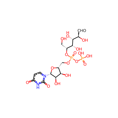 O=C[C@@H](O)[C@@H](O)[C@H](O)[C@@H](CO)OP(=O)(OC[C@H]1O[C@@H](n2ccc(=O)[nH]c2=O)[C@H](O)[C@@H]1O)OP(=O)(O)O